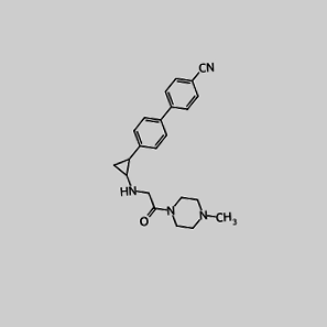 CN1CCN(C(=O)CNC2CC2c2ccc(-c3ccc(C#N)cc3)cc2)CC1